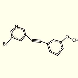 COc1cccc(C#Cc2cncc(Br)c2)c1